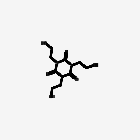 O=C1C(CCO)C(=O)N(CCO)C(=O)N1CCO